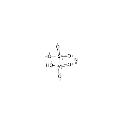 O=S(=O)(O)S(=O)(=O)O.[Ni]